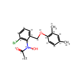 CCC(=O)N(O)c1c(Br)cccc1COc1ccc(C)cc1C